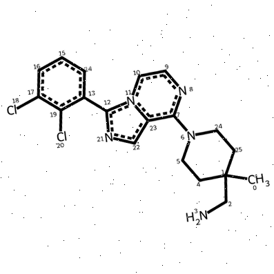 CC1(CN)CCN(c2nccn3c(-c4cccc(Cl)c4Cl)n[c]c23)CC1